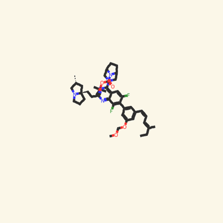 CC/C(C)=C/C=C\c1cc(OCOC)cc(-c2c(F)cc3c(N4CC5CCC(C4)N5C(=O)OC(C)(C)C)nc(CC[C@@]45CCCN4C[C@H](C)C5)nc3c2F)c1